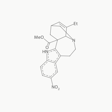 CCC1=CC2CN3CCc4c([nH]c5ccc([N+](=O)[O-])cc45)C(C(=O)OC)(C2)C13